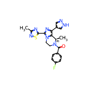 Cc1nsc(-c2nc(-c3cn[nH]c3)c3n2CCN(C(=O)c2ccc(F)cc2)[C@@H]3C)n1